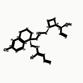 C=C/C=C(\CC)OC[C@@]1(CNC[C@@H]2CC[C@H]2[C@H](C=C)OC(C)=O)CCCc2cc(Cl)ccc21